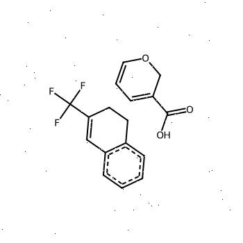 FC(F)(F)C1=Cc2ccccc2CC1.O=C(O)C1=CC=COC1